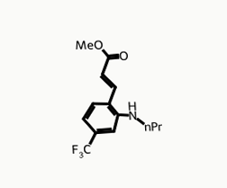 CCCNc1cc(C(F)(F)F)ccc1C=CC(=O)OC